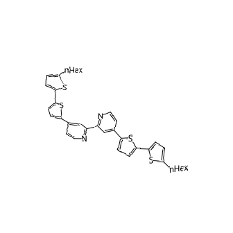 CCCCCCc1ccc(-c2ccc(-c3ccnc(-c4cc(-c5ccc(-c6ccc(CCCCCC)s6)s5)ccn4)c3)s2)s1